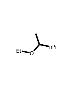 CCCC(C)OCC